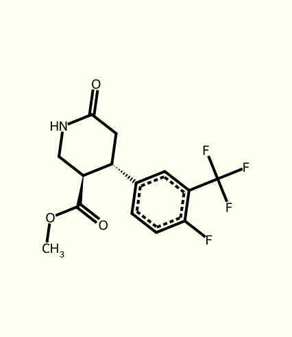 COC(=O)[C@H]1CNC(=O)C[C@@H]1c1ccc(F)c(C(F)(F)F)c1